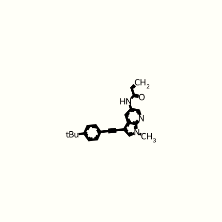 C=CC(=O)Nc1cnc2c(c1)c(C#Cc1ccc(C(C)(C)C)cc1)cn2C